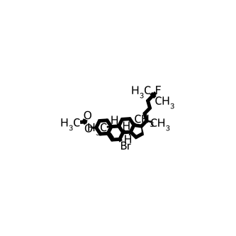 CC(=O)O[C@H]1CC[C@@]2(C)C(=CC(Br)[C@H]3[C@@H]4CC[C@H]([C@H](C)CCCC(C)(C)F)[C@@]4(C)CC[C@@H]32)C1